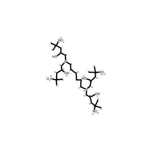 CC(C)(CC(O)CN(CCCCCCN(CC(O)CC(C)(C)[N+](=O)[O-])CC(O)CC(C)(C)[N+](=O)[O-])CC(O)CC(C)(C)[N+](=O)[O-])[N+](=O)[O-]